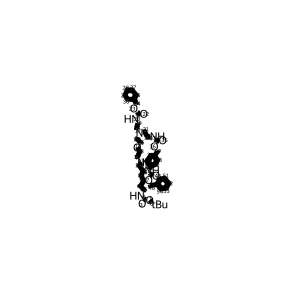 CC(C)(C)OC(=O)NCCCCC(CNCCOCCN(CCNC(=O)OCC1=CC=CCC1)CCNC(=O)OCc1ccccc1)NC(=O)OCc1ccccc1